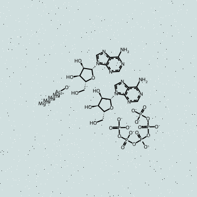 CC(=O)[O-].Nc1ncnc2c1ncn2[C@@H]1O[C@H](CO)[C@@H](O)[C@H]1O.Nc1ncnc2c1ncn2[C@@H]1O[C@H](CO)[C@@H](O)[C@H]1O.O=P([O-])([O-])OP(=O)([O-])OP(=O)([O-])OP(=O)([O-])OP(=O)([O-])[O-].[Mg+2].[Mg+2].[Mg+2].[Mg+2]